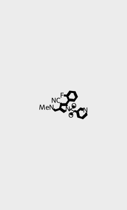 CNCc1cn(S(=O)(=O)c2cccnc2)c(-c2ccccc2F)c1C#N